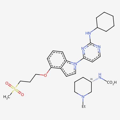 CCN1CCC[C@H](NC(=O)O)C1.CS(=O)(=O)CCCOc1cccc2c1ccn2-c1ccnc(NC2CCCCC2)n1